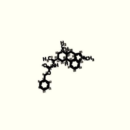 CC(NC(=O)OCc1ccccc1)[C@@H]1C[C@@H]2c3cccc4c3c(cn4C)C[C@H]2N(C)C1